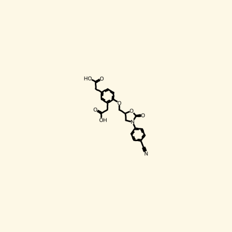 N#Cc1ccc(N2CC(COc3ccc(CC(=O)O)cc3CC(=O)O)OC2=O)cc1